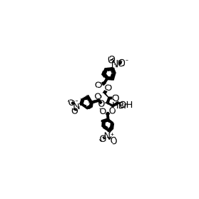 Br.O=C(OC[C@H]1O[C@H](O)[C@H](OC(=O)c2ccc([N+](=O)[O-])cc2)[C@@H]1OC(=O)c1ccc([N+](=O)[O-])cc1)c1ccc([N+](=O)[O-])cc1